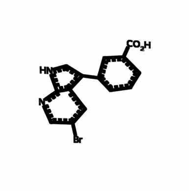 O=C(O)c1cccc(-c2c[nH]c3ncc(Br)cc23)c1